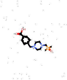 CP(C)(=O)CN1CCN(Cc2ccc(C(=O)O)cc2)CC1